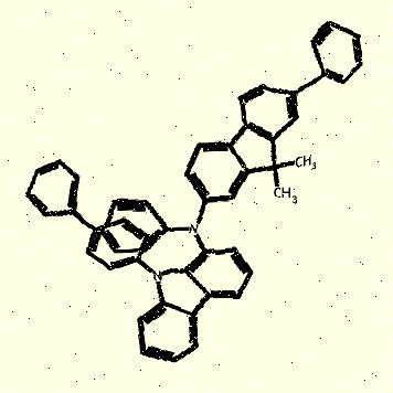 CC1(C)c2cc(-c3ccccc3)ccc2-c2ccc(N(c3ccccc3)c3cccc4c5ccccc5n(-c5ccc(-c6ccccc6)cc5)c34)cc21